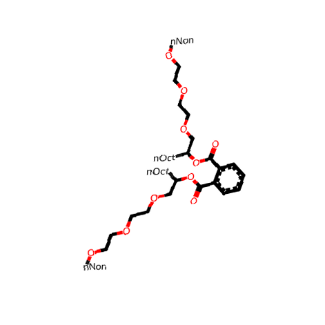 CCCCCCCCCOCCOCCOCC(CCCCCCCC)OC(=O)c1ccccc1C(=O)OC(CCCCCCCC)COCCOCCOCCCCCCCCC